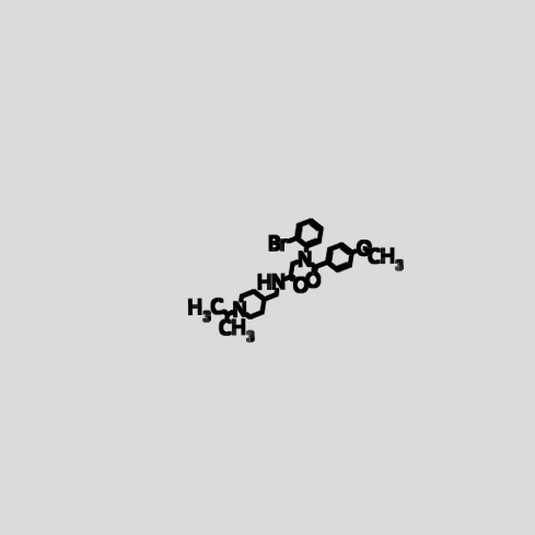 COc1ccc(C(=O)N(CC(=O)NCC2CCN(C(C)C)CC2)c2ccccc2Br)cc1